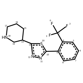 FC(F)(F)c1ccccc1-c1nnc(C2CCCNC2)s1